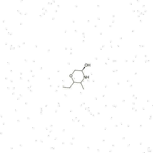 CCC1OC[C@@H](O)NC1C